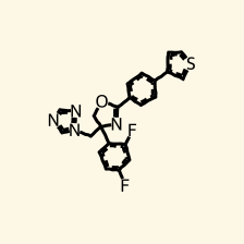 Fc1ccc(C2(Cn3cncn3)COC(c3ccc(-c4ccsc4)cc3)=N2)c(F)c1